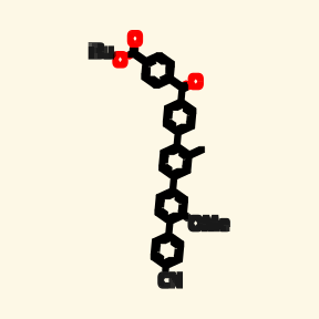 CCC(C)OC(=O)c1ccc(C(=O)c2ccc(-c3ccc(-c4ccc(-c5ccc(C#N)cc5)c(OC)c4)cc3C)cc2)cc1